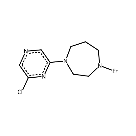 CCN1CCCN(c2cncc(Cl)n2)CC1